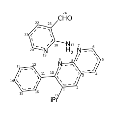 CC(C)c1cc2cccnc2nc1-c1ccccc1.Nc1ncccc1C=O